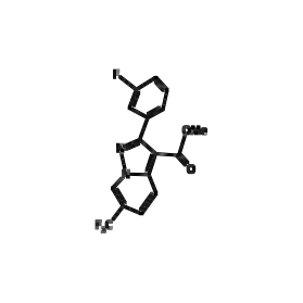 COC(=O)c1c(-c2cccc(F)c2)nn2cc(C(F)(F)F)ccc12